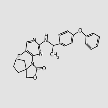 CC(Nc1ncc(F)c(N2C(=O)OCC23CCCC3)n1)c1ccc(Oc2ccccc2)cc1